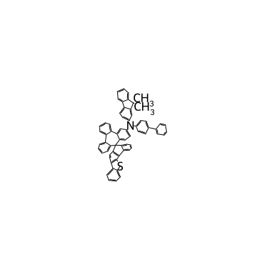 CC1(C)c2ccccc2-c2ccc(N(c3ccc(-c4ccccc4)cc3)c3ccc4c(c3)-c3ccccc3-c3ccccc3C43c4ccccc4-c4c3ccc3c4sc4ccccc43)cc21